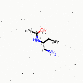 CCCC(O)N[C@@H](CN)CC(C)C